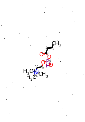 CC=CC(=O)O[PH](=O)OCC[N+](C)(C)C